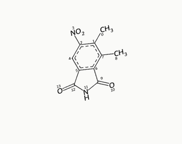 Cc1c([N+](=O)[O-])cc2c(c1C)C(=O)NC2=O